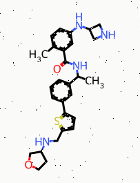 Cc1ccc(NC2CNC2)cc1C(=O)NC(C)c1cccc(-c2ccc(CN[C@H]3CCOC3)s2)c1